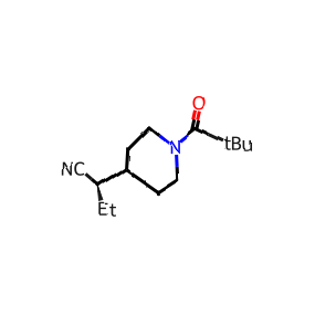 CC[C@@H](C#N)C1CCN(C(=O)C(C)(C)C)CC1